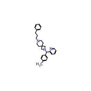 Cc1ccc(C(c2ccccn2)N2CC3(CCN(CCCc4ccccc4)CC3)C2)cc1